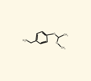 COC(C)Oc1ccc(CN)cc1